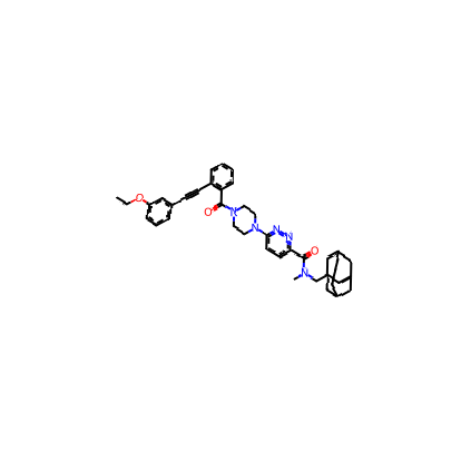 CCOc1cccc(C#Cc2ccccc2C(=O)N2CCN(c3ccc(C(=O)N(C)CC45CC6CC(CC(C6)C4)C5)nn3)CC2)c1